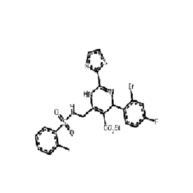 CCOC(=O)C1=C(CNS(=O)(=O)c2ccccc2C)NC(c2nccs2)=NC1c1ccc(F)cc1Br